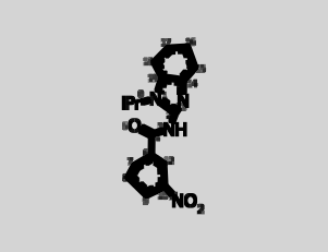 CC(C)n1c(NC(=O)c2cccc([N+](=O)[O-])c2)nc2ccccc21